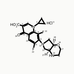 Cl.O=C(O)c1cn(C2CC2)c2c(F)c(N3C[C@@H]4NCCO[C@@H]4C3)c(F)cc2c1=O